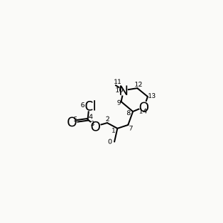 CC(COC(=O)Cl)CC1CN(C)CCO1